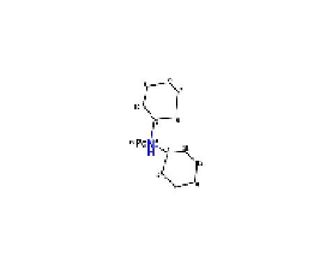 C1CCC(NC2CCCCC2)CC1.[Pd]